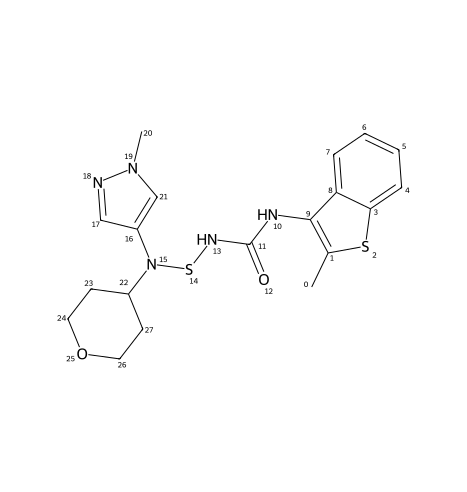 Cc1sc2ccccc2c1NC(=O)NSN(c1cnn(C)c1)C1CCOCC1